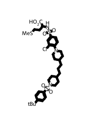 CSCCC(NS(=O)(=O)c1ccc(N2CCC(CCCC3CCN(S(=O)(=O)c4ccc(C(C)(C)C)cc4)CC3)CC2)c(Cl)c1)C(=O)O